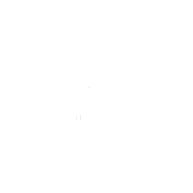 CC(C)=C(O)C(O)C=CCO